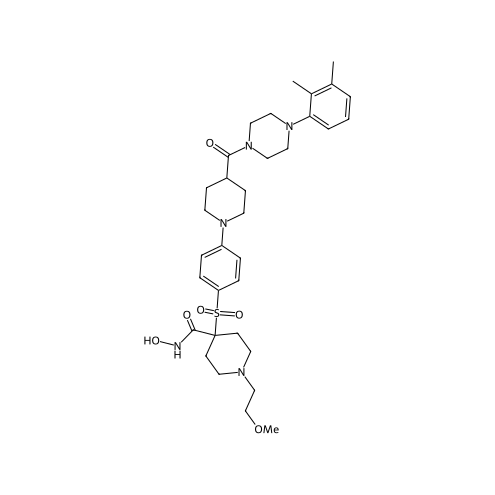 COCCN1CCC(C(=O)NO)(S(=O)(=O)c2ccc(N3CCC(C(=O)N4CCN(c5cccc(C)c5C)CC4)CC3)cc2)CC1